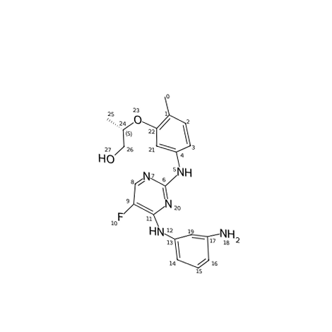 Cc1ccc(Nc2ncc(F)c(Nc3cccc(N)c3)n2)cc1O[C@@H](C)CO